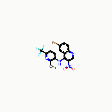 Cc1nc(C(F)(F)F)ccc1Nc1c([N+](=O)[O-])cnc2ccc(Br)cc12